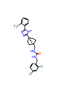 Cn1c(-c2ccccc2C(F)(F)F)nnc1C12CCC(CNC(=O)NCc3ccc(Cl)cc3Cl)(CC1)CC2